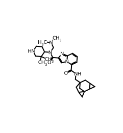 CN(C)CN(C(=O)c1cn2c(C(=O)NCC34CC5CC5C5(CC5C3)C4)cccc2n1)C1CCNCC1(C)C